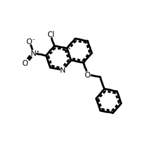 O=[N+]([O-])c1cnc2c(OCc3ccccc3)cccc2c1Cl